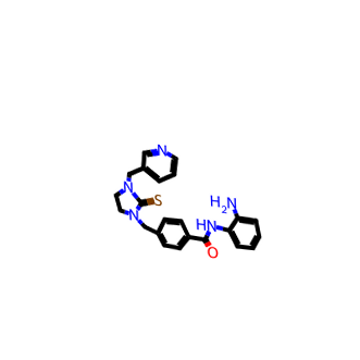 Nc1ccccc1NC(=O)c1ccc(CN2CCN(Cc3cccnc3)C2=S)cc1